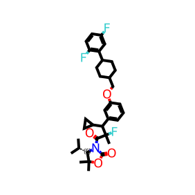 CC(C)[C@@H]1N(C(=O)C(C)(F)C(c2cccc(OCC3CCC(c4cc(F)ccc4F)CC3)c2)C2CC2)C(=O)OC1(C)C